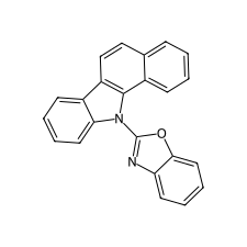 c1ccc2c(c1)ccc1c3ccccc3n(-c3nc4ccccc4o3)c21